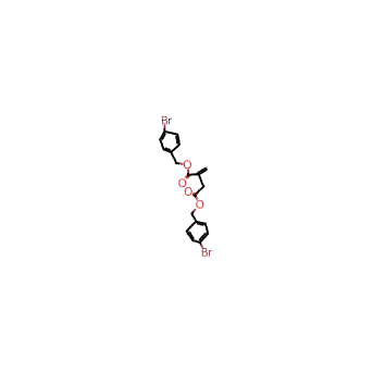 C=C(CC(=O)OCc1ccc(Br)cc1)C(=O)OCc1ccc(Br)cc1